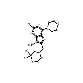 CCC1(CC)CN(Cc2nc3c(N4CCOCC4)nc(Cl)nc3n2C)CCO1